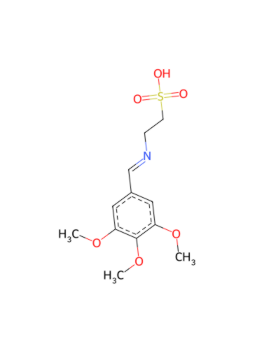 COc1cc(C=NCCS(=O)(=O)O)cc(OC)c1OC